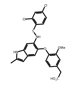 COc1cc(CC(=O)O)ccc1Oc1cc2cc(C)[nH]c2cc1NSc1ccc(Cl)cc1Cl